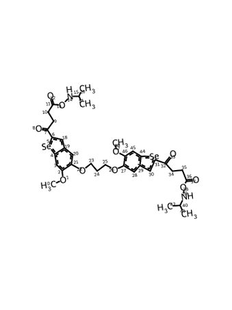 COc1cc2[se]c(C(=O)CCC(=O)ONC(C)C)cc2cc1OCCCOc1cc2cc(C(=O)CCC(=O)ONC(C)C)[se]c2cc1OC